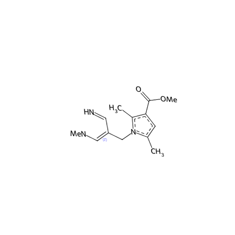 CN/C=C(\C=N)Cn1c(C)cc(C(=O)OC)c1C